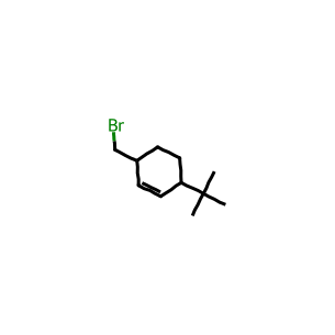 CC(C)(C)C1C=CC(CBr)CC1